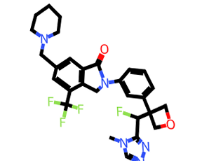 Cn1cnnc1C(F)C1(c2cccc(N3Cc4c(cc(CN5CCCCC5)cc4C(F)(F)F)C3=O)c2)COC1